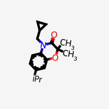 CC(C)c1ccc2c(c1)OC(C)(C)C(=O)N2CC1CC1